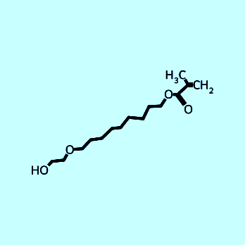 C=C(C)C(=O)OCCCCCCCCCOCCO